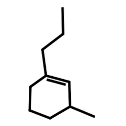 CCCC1=CC(C)CCC1